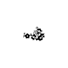 C[C@H]1CN(Cc2ccn3ncc(N4CCC(=O)NC4=O)c3c2)CCN1C[C@@H]1CCC(F)(F)C1